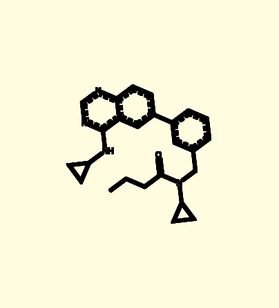 CCCC(=O)N(Cc1cccc(-c2ccc3ncnc(NC4CC4)c3c2)c1)C1CC1